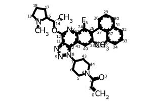 C=CC(=O)N1CCC(n2nnc3c(O[C@@H](C)C4CCCN4C)nc4c(F)c(-c5cccc6cccc(C#N)c56)c(C)cc4c32)CC1